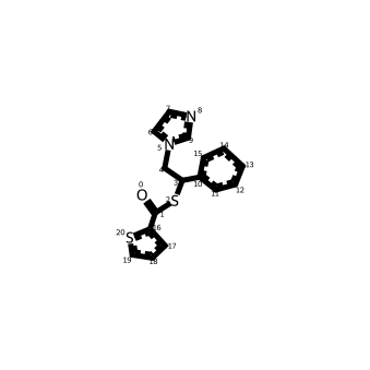 O=C(SC(Cn1ccnc1)c1ccccc1)c1cccs1